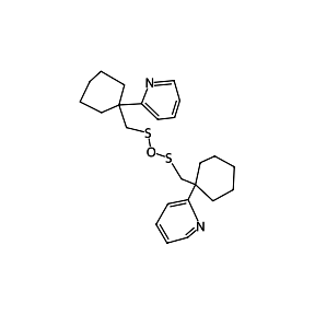 c1ccc(C2(CSOSCC3(c4ccccn4)CCCCC3)CCCCC2)nc1